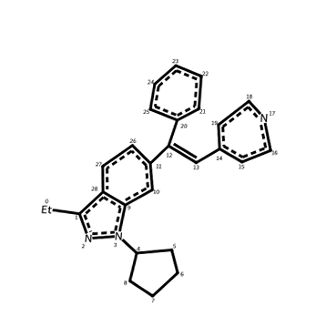 CCc1nn(C2CCCC2)c2cc(C(=Cc3ccncc3)c3ccccc3)ccc12